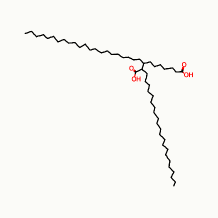 CCCCCCCCCCCCCCCCCCCCCCC(CCCCCCC(=O)O)C(CCCCCCCCCCCCCCCCCCCCCC)C(=O)O